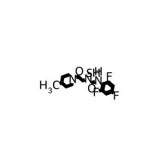 CC1CCN(C(=O)CN(S)C(=O)Nc2c(F)cc(F)cc2F)CC1